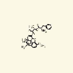 COc1ccc2c3c1OC1C(OC(=O)[C@H](C)OC(=O)[C@@H](N)Cc4ccccc4)=CC[C@@]4(O)[C@@H](C2)N(C)CCC314